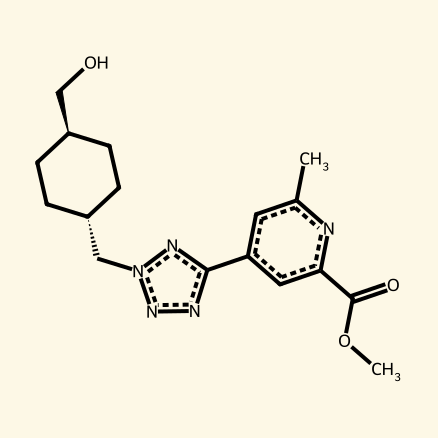 COC(=O)c1cc(-c2nnn(C[C@H]3CC[C@H](CO)CC3)n2)cc(C)n1